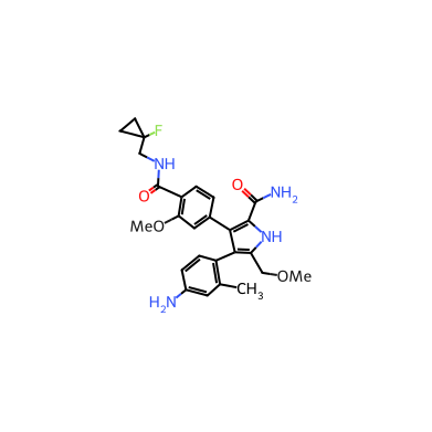 COCc1[nH]c(C(N)=O)c(-c2ccc(C(=O)NCC3(F)CC3)c(OC)c2)c1-c1ccc(N)cc1C